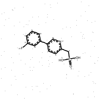 O=P(O)(O)Cc1ccc(-c2cccc(F)c2)cn1